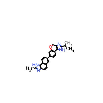 Cc1nc2ccc3cc(-c4ccc5c(c4)OCc4nc(C(C)C)[nH]c4-5)ccc3c2[nH]1